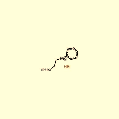 Br.CCCCCCC[CH2][Mg][c]1ccccc1